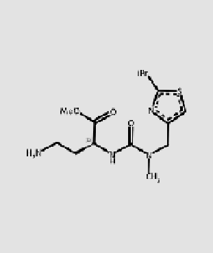 COC(=O)[C@H](CCN)NC(=O)N(C)Cc1csc(C(C)C)n1